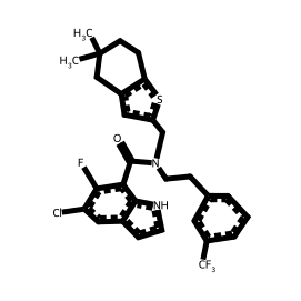 CC1(C)CCc2sc(CN(CCc3cccc(C(F)(F)F)c3)C(=O)c3c(F)c(Cl)cc4cc[nH]c34)cc2C1